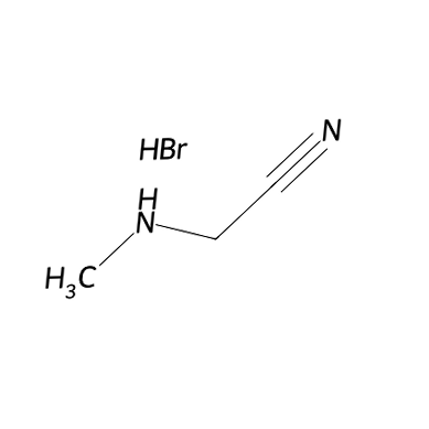 Br.CNCC#N